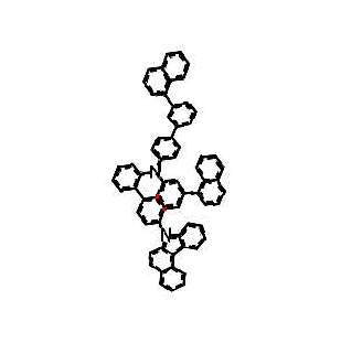 c1cc(-c2ccc(N(c3cccc(-c4cccc5ccccc45)c3)c3ccccc3-c3ccc(-n4c5ccccc5c5c6ccccc6ccc54)cc3)cc2)cc(-c2cccc3ccccc23)c1